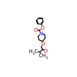 CC(C)C(=O)COC1CCN(C(=O)Oc2ccccc2)CC1